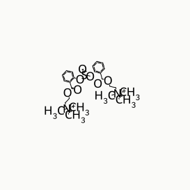 C[N+](C)(C)CCOC(=O)c1ccccc1OS(=O)Oc1ccccc1C(=O)OCC[N+](C)(C)C